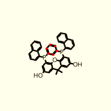 CC1(C)c2cc(O)cc(P(c3ccccc3)c3cccc4ccccc34)c2Oc2c(P(c3ccccc3)c3cccc4ccccc34)cc(O)cc21